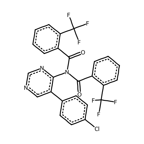 O=C(c1ccccc1C(F)(F)F)N(C(=O)c1ccccc1C(F)(F)F)c1ncncc1-c1ccc(Cl)cc1